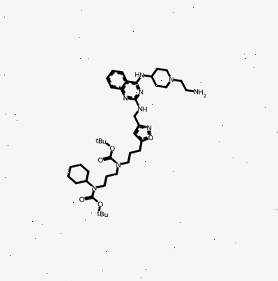 CC(C)(C)OC(=O)N(CCCc1cc(CNc2nc(NC3CCN(CCN)CC3)c3ccccc3n2)no1)CCCN(C(=O)OC(C)(C)C)C1CCCCC1